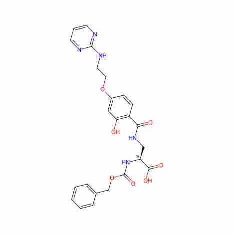 O=C(N[C@@H](CNC(=O)c1ccc(OCCNc2ncccn2)cc1O)C(=O)O)OCc1ccccc1